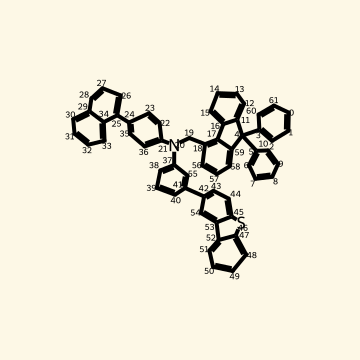 c1ccc(C2(c3ccccc3)c3ccccc3-c3c(CN(c4ccc(-c5cccc6ccccc56)cc4)c4cccc(-c5ccc6sc7ccccc7c6c5)c4)cccc32)cc1